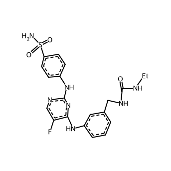 CCNC(=O)NCc1cccc(Nc2nc(Nc3ccc(S(N)(=O)=O)cc3)ncc2F)c1